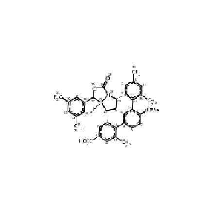 COc1ccc(-c2ccc(C(=O)O)cc2C)cc1-c1c(C)cc(C(F)(F)F)cc1[C@@H]1CC[C@H]2C(c3cc(C(F)(F)F)cc(C(F)(F)F)c3)OC(=O)N12